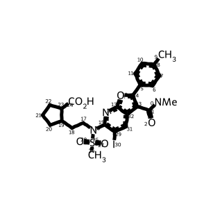 CNC(=O)c1c(-c2ccc(C)cc2)oc2nc(N(CCC3CCCC3C(=O)O)S(C)(=O)=O)c(I)cc12